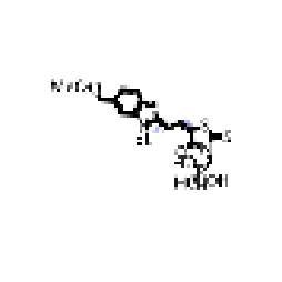 CCN1/C(=C/C=C2/SC(=S)N(C[PH](O)(O)O)C2=O)Sc2ccc(COOC)cc21